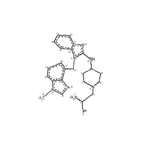 CC(C)C(N)CN1CCC(Nc2nc3ccccc3n2Cc2cccc3c2ncn3C)CC1